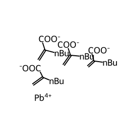 C=C(CCCC)C(=O)[O-].C=C(CCCC)C(=O)[O-].C=C(CCCC)C(=O)[O-].C=C(CCCC)C(=O)[O-].[Pb+4]